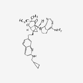 CC1(C)O[C@@H]2[C@@]3(CCc4ccc5ccc(NCC6CC6)nc5c4)C[C@@H](N4CCc5c(N)ncnc54)[C@@]2(C3)O1